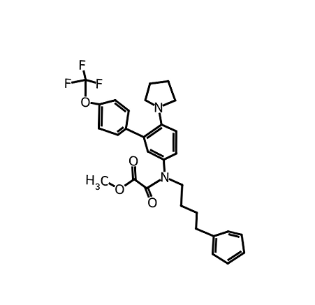 COC(=O)C(=O)N(CCCCc1ccccc1)c1ccc(N2CCCC2)c(-c2ccc(OC(F)(F)F)cc2)c1